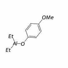 C[CH2][Al]([CH2]C)[O]c1ccc(OC)cc1